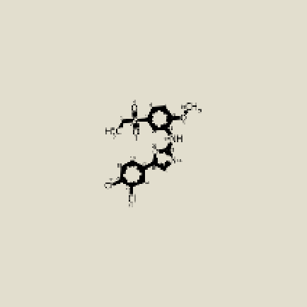 CCS(=O)(=O)c1ccc(OC)c(Nc2ncc(-c3ccc(Cl)c(Cl)c3)o2)c1